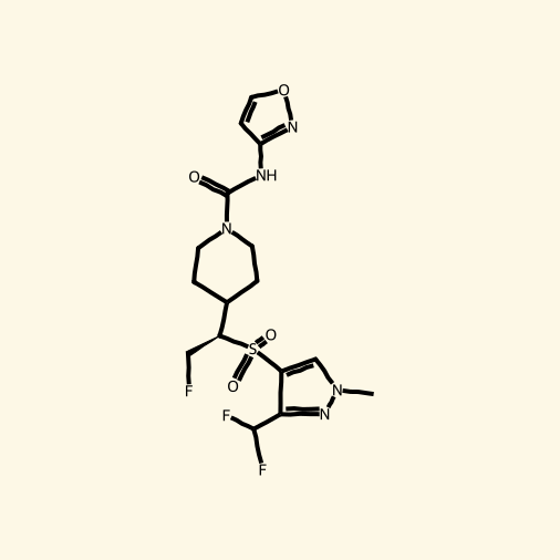 Cn1cc(S(=O)(=O)[C@@H](CF)C2CCN(C(=O)Nc3ccon3)CC2)c(C(F)F)n1